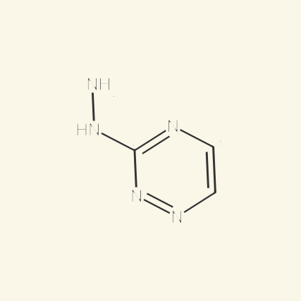 NNc1nccnn1